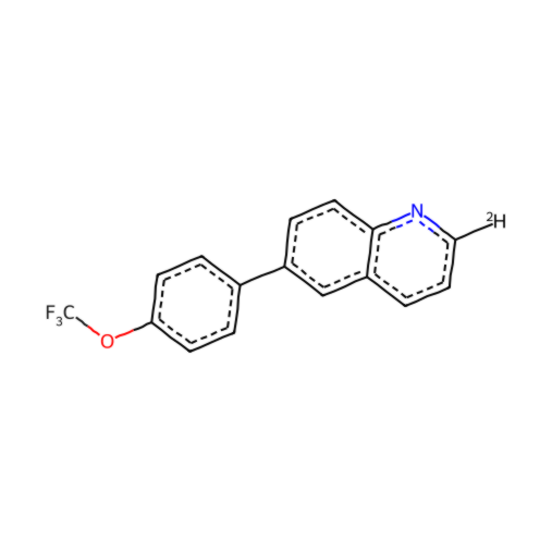 [2H]c1ccc2cc(-c3ccc(OC(F)(F)F)cc3)ccc2n1